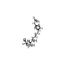 CNC(=NS(C)(=O)=O)NCCSCc1csc(CN(C)C)n1